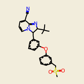 CC(C)(C)C1N=C2C(C#N)=CC=CN2C1c1cccc(Oc2cccc(CS(C)(=O)=O)c2)c1